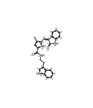 Cc1cc(C(=O)NCCc2c[nH]c3ccccc23)[nH]c1/C=C1\C(=O)Nc2ccccc21